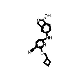 N#Cc1ccc(Nc2ccc3c(c2)COB3O)nc1OCC1CCC1